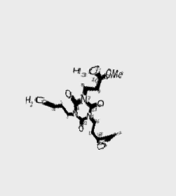 C=CCCn1c(=O)n(CCC(C)OC)c(=O)n(CCC2CO2)c1=O